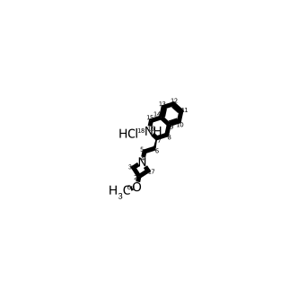 COC1CN(CC[C@@H]2Cc3ccccc3CN2)C1.Cl